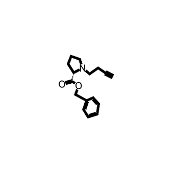 C#CCCN1CCC[C@H]1C(=O)OCc1ccccc1